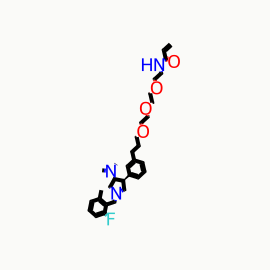 C=CC(=O)NCCOCCOCCOCCCc1cccc([C@H]2CN(Cc3c(C)cccc3F)C[C@@H]2N(C)C)c1